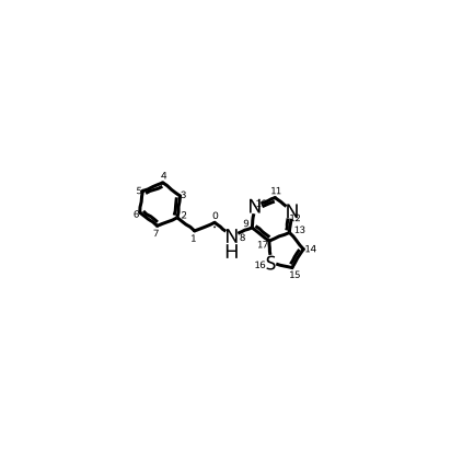 [CH](Cc1ccccc1)Nc1ncnc2ccsc12